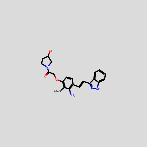 COc1c(OCC(=O)N2CCC(O)C2)ccc(C=Cc2n[nH]c3ccccc23)c1N